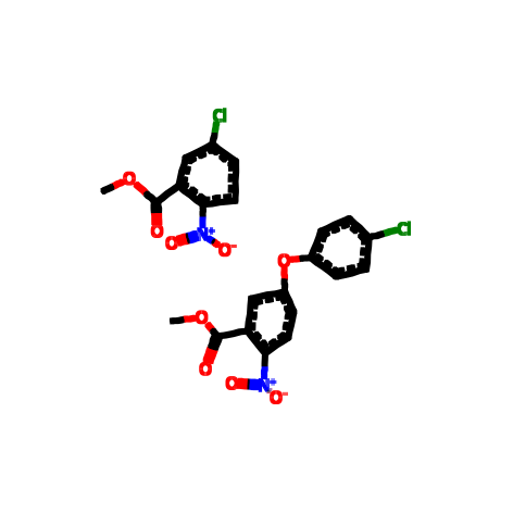 COC(=O)c1cc(Cl)ccc1[N+](=O)[O-].COC(=O)c1cc(Oc2ccc(Cl)cc2)ccc1[N+](=O)[O-]